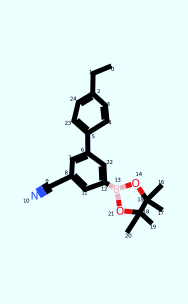 CCc1ccc(-c2cc(C#N)cc(B3OC(C)(C)C(C)(C)O3)c2)cc1